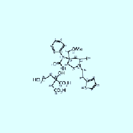 CCC(=O)N(c1ccccc1)C1(COC)CCN(CCc2cccs2)C(I)C1.O=C(O)CC(O)(CC(=O)O)C(=O)O